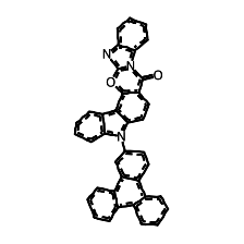 O=c1c2ccc3c(c4ccccc4n3-c3ccc4c5ccccc5c5ccccc5c4c3)c2oc2nc3ccccc3n12